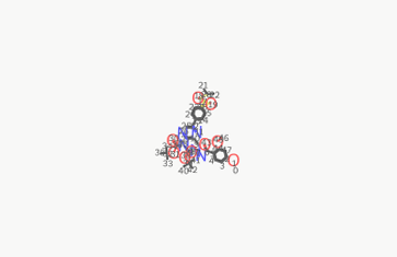 COc1ccc(-c2nnc(-c3nc(-c4ccc(S(=O)(=O)C(C)C)cc4)cnc3N(C(=O)OC(C)(C)C)C(=O)OC(C)(C)C)o2)c(OC)c1